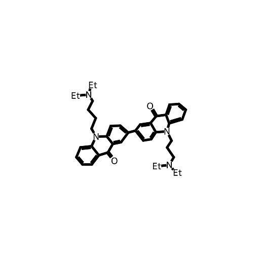 CCN(CC)CCCCn1c2ccccc2c(=O)c2cc(-c3ccc4c(c3)c(=O)c3ccccc3n4CCCN(CC)CC)ccc21